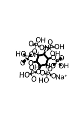 O=P([O-])(O)OC1C(OP(=O)(O)O)C(OP(=O)(O)O)C(OP(=O)(O)O)C(OP(=O)(O)O)C1OP(=O)(O)O.[Na+]